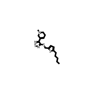 CCCCCc1ccc(CSc2nsnc2C2=CCCN(C)C2)s1